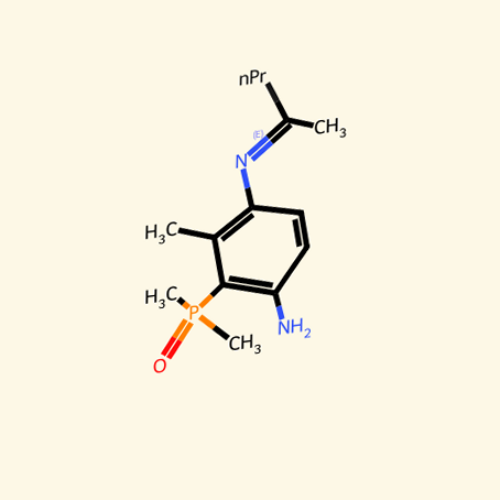 CCC/C(C)=N/c1ccc(N)c(P(C)(C)=O)c1C